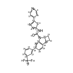 O=C(Nc1nnc(-c2ccncc2)s1)N1c2nc(-c3cccc(C(F)(F)F)c3)ccc2N2CCC21